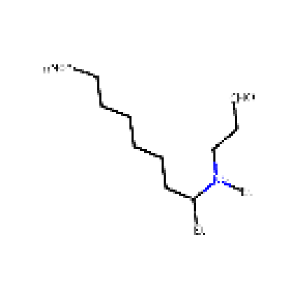 CCCCCCCCCCCCCCCC(CC)[N+](CC)CCC=O